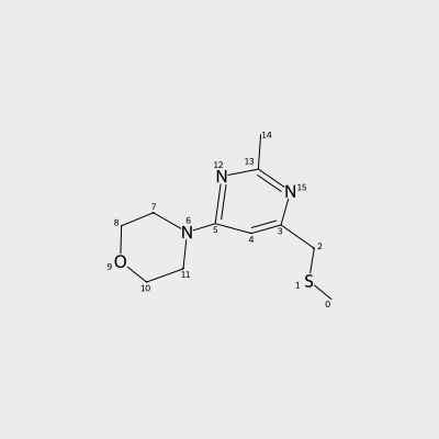 CSCc1cc(N2CCOCC2)nc(C)n1